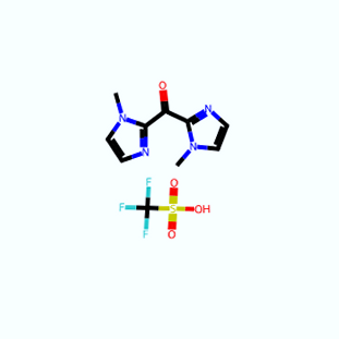 Cn1ccnc1C(=O)c1nccn1C.O=S(=O)(O)C(F)(F)F